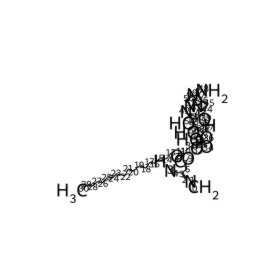 C=N/C=C(C#N)\C=C(/C)O[C@H](COCCCCCCCCCCCCCCCCCC)COP(=O)(O)OC1[C@H]2O[C@@](C#N)(c3ccc4c(N)ncnn34)[C@H](O)[C@@]12O